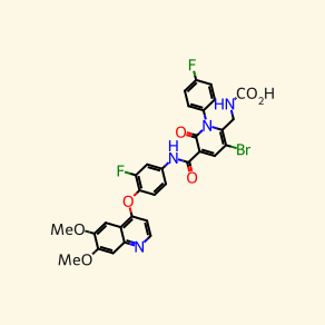 COc1cc2nccc(Oc3ccc(NC(=O)c4cc(Br)c(CNC(=O)O)n(-c5ccc(F)cc5)c4=O)cc3F)c2cc1OC